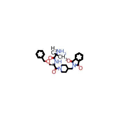 CC(C)(N)C(=O)N[C@H](COCc1ccccc1)C(=O)N1CCC(CN2C(=O)c3ccccc3C2=O)CC1